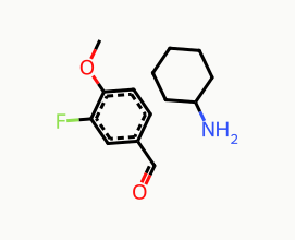 COc1ccc(C=O)cc1F.NC1CCCCC1